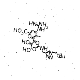 C[C@H]1[C@H]([C@H](OC(=O)NCc2cn(CC(C)(C)C)nn2)[C@H](O)CO)OC(C(=O)O)=C[C@@H]1NC(=N)N